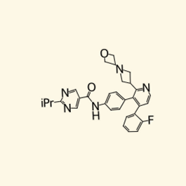 CC(C)c1ncc(C(=O)Nc2ccc(-c3c(-c4ccccc4F)ccnc3C3CN(C4COC4)C3)cc2)cn1